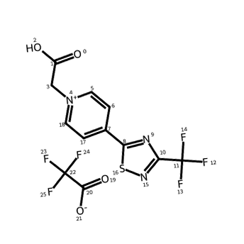 O=C(O)C[n+]1ccc(-c2nc(C(F)(F)F)ns2)cc1.O=C([O-])C(F)(F)F